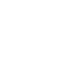 Cc1nc([C@@H](C)c2cc(Cl)c(F)c(C(=O)O)c2O)n2ccnc(N)c12